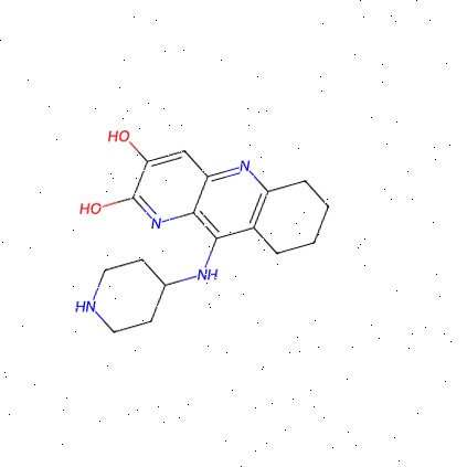 Oc1cc2nc3c(c(NC4CCNCC4)c2nc1O)CCCC3